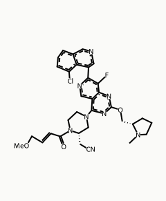 COC/C=C/C(=O)N1CCN(c2nc(OC[C@@H]3CCCN3C)nc3c(F)c(-c4cncc5cccc(Cl)c45)ncc23)C[C@@H]1CC#N